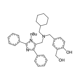 CCCCn1c(-c2ccccc2)nc(-c2ccccc2)c1CN(Cc1ccc(O)c(CO)c1)CC1CCCCC1